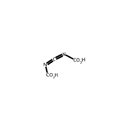 O=C(O)N=C=NC(=O)O